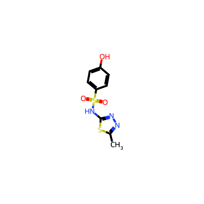 Cc1nnc(NS(=O)(=O)c2ccc(O)cc2)s1